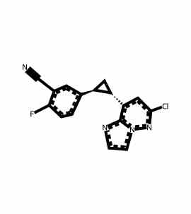 N#Cc1cc([C@H]2C[C@@H]2c2cc(Cl)nn3ccnc23)ccc1F